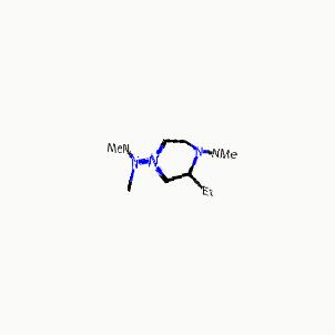 CCC1CN(N(C)NC)CCN1NC